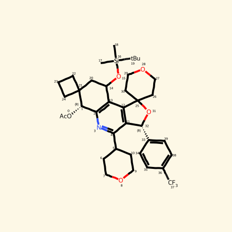 CC(=O)O[C@H]1c2nc(C3CCOCC3)c3c(c2C(O[Si](C)(C)C(C)(C)C)CC12CCC2)C1(CCOCC1)O[C@@H]3c1ccc(C(F)(F)F)cc1